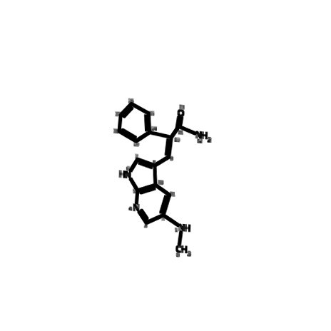 CNc1cnc2[nH]cc(/C=C(/C(N)=O)c3ccccc3)c2c1